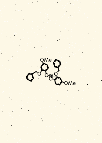 COc1ccc(OBOc2ccc(OC)cc2OCc2ccccc2)c(OCc2ccccc2)c1